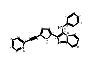 C(#Cc1ccc(-c2nc3ccccn3c2Nc2ccccc2)o1)c1ccccn1